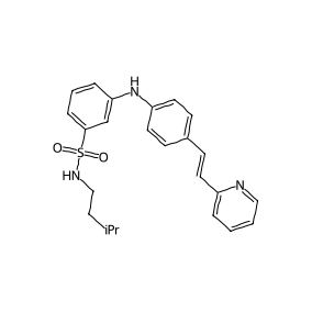 CC(C)CCNS(=O)(=O)c1cccc(Nc2ccc(C=Cc3ccccn3)cc2)c1